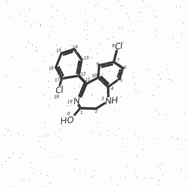 OC1CNc2ccc(Cl)cc2C(c2ccccc2Cl)=N1